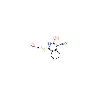 COCCSc1nc(O)c(C#N)c2c1CCCC2